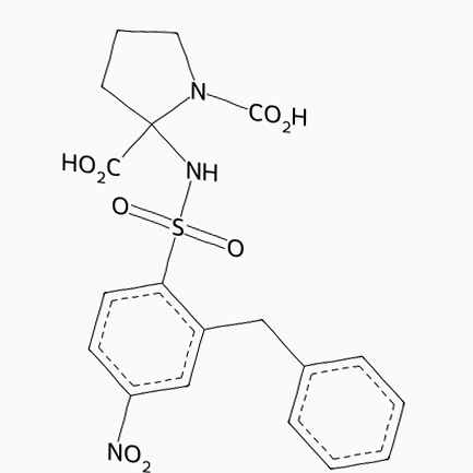 O=C(O)N1CCCC1(NS(=O)(=O)c1ccc([N+](=O)[O-])cc1Cc1ccccc1)C(=O)O